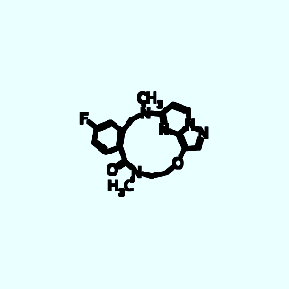 CN1CCOc2cnn3ccc(nc23)N(C)Cc2cc(F)ccc2C1=O